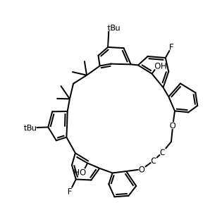 CC(C)(C)c1cc2cc(c1)C(C)(C)CC(C)(C)c1cc(cc(C(C)(C)C)c1)-c1cc(F)cc(c1O)-c1ccccc1OCCCOc1ccccc1-c1cc(F)cc-2c1O